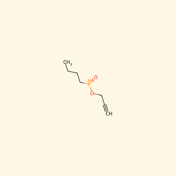 C#CCO[PH](=O)CCCC